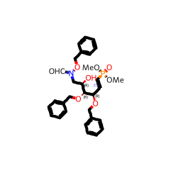 COP(=O)(/C=C/[C@@H](OCc1ccccc1)[C@H](OCc1ccccc1)[C@H](O)CN(C=O)OCc1ccccc1)OC